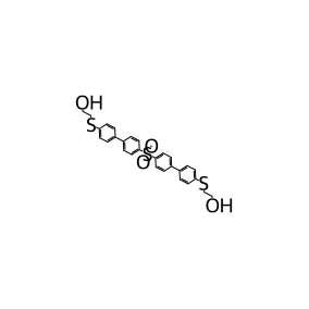 O=S(=O)(c1ccc(-c2ccc(SCCO)cc2)cc1)c1ccc(-c2ccc(SCCO)cc2)cc1